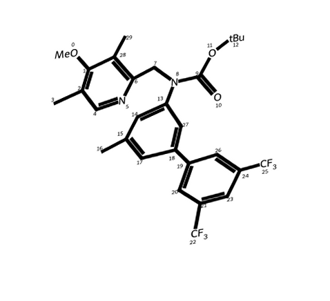 COc1c(C)cnc(CN(C(=O)OC(C)(C)C)c2cc(C)cc(-c3cc(C(F)(F)F)cc(C(F)(F)F)c3)c2)c1C